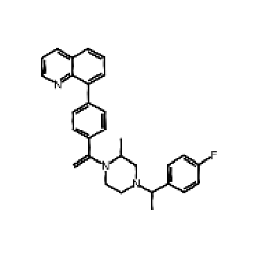 C=C(c1ccc(-c2cccc3cccnc23)cc1)N1CCN(C(C)c2ccc(F)cc2)CC1C